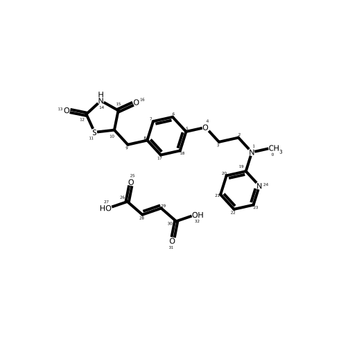 CN(CCOc1ccc(CC2SC(=O)NC2=O)cc1)c1ccccn1.O=C(O)C=CC(=O)O